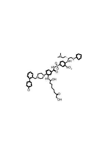 CN(C)CC[C@H](CSc1ccccc1)Nc1ccc(S(=O)(=O)NC(=O)c2ccc(N3CCN(Cc4ccccc4-c4ccc(Cl)cc4)CC3)c(NC(O)CCCCCC(=O)CO)c2)cc1[N+](=O)[O-]